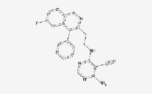 N#Cc1c(N)ncnc1NCCc1ncc2ccc(F)cc2c1-c1ccccc1